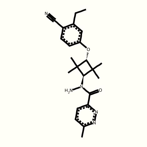 CCc1cc(O[C@H]2C(C)(C)[C@H](N(N)C(=O)c3ccc(C)nn3)C2(C)C)ccc1C#N